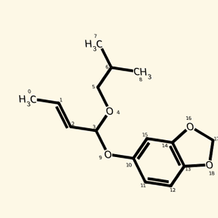 CC=CC(OCC(C)C)Oc1ccc2c(c1)OCO2